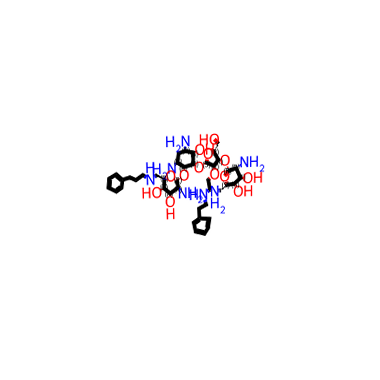 NC[C@@H]1O[C@H](O[C@H]2[C@@H](OCCNCCc3ccccc3)[C@H](O[C@@H]3[C@@H](O)[C@H](N)C[C@H](N)[C@H]3O[C@H]3O[C@H](CNCCCc4ccccc4)[C@@H](O)[C@H](O)[C@H]3N)O[C@@H]2CO)[C@H](N)[C@@H](O)[C@@H]1O